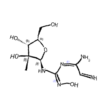 C[C@]1(O)[C@H](NC(=N/O)/N=C(/N)C=N)O[C@H](CO)[C@H]1O